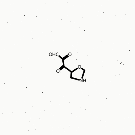 O=CC(=O)C(=O)C1CNCO1